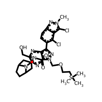 Cn1nc2ccc(-c3nn(COCC[Si](C)(C)C)c4nc(N5C6CCC5CC(NC(=O)O)C6)c(CO)nc34)c(Cl)c2c1Cl